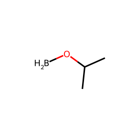 BOC(C)C